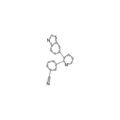 N#Cc1cccc(-c2ncccc2-c2ccc3ncsc3c2)c1